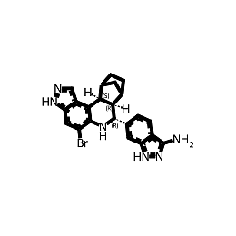 Nc1n[nH]c2cc([C@@H]3Nc4c(Br)cc5[nH]ncc5c4[C@H]4C5CCC(C5)[C@@H]34)ccc12